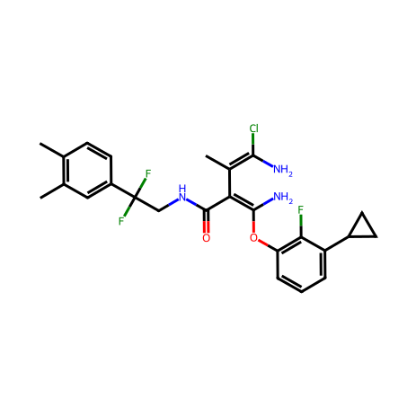 CC(/C(C(=O)NCC(F)(F)c1ccc(C)c(C)c1)=C(\N)Oc1cccc(C2CC2)c1F)=C(/N)Cl